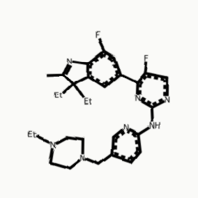 CCN1CCN(Cc2ccc(Nc3ncc(F)c(-c4cc(F)c5c(c4)C(CC)(CC)C(C)=N5)n3)nc2)CC1